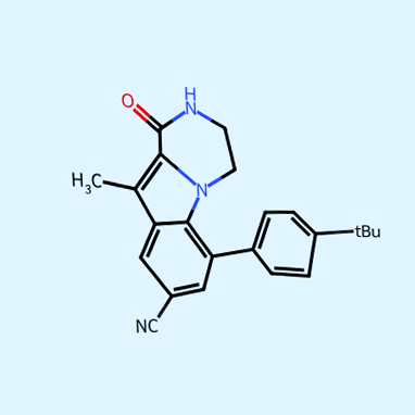 Cc1c2n(c3c(-c4ccc(C(C)(C)C)cc4)cc(C#N)cc13)CCNC2=O